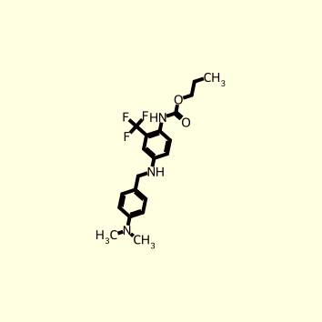 CCCOC(=O)Nc1ccc(NCc2ccc(N(C)C)cc2)cc1C(F)(F)F